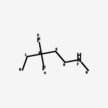 CCC(F)(F)CCNC